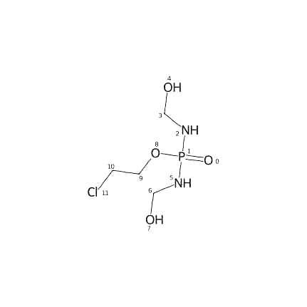 O=P(NCO)(NCO)OCCCl